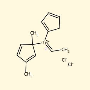 C/[CH]=[Ti+2](\[C]1=CC=CC1)[C]1(C)C=CC(C)=C1.[Cl-].[Cl-]